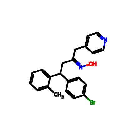 Cc1ccccc1C(CC(Cc1ccncc1)=NO)c1ccc(Br)cc1